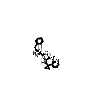 CN1C(=O)C(NC(=O)c2nnc(Cc3ccccc3)[nH]2)CC2(CC2)c2cccnc21